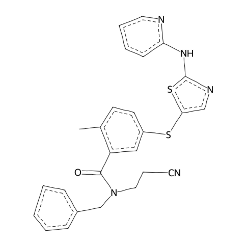 Cc1ccc(Sc2cnc(Nc3ccccn3)s2)cc1C(=O)N(CCC#N)Cc1ccccc1